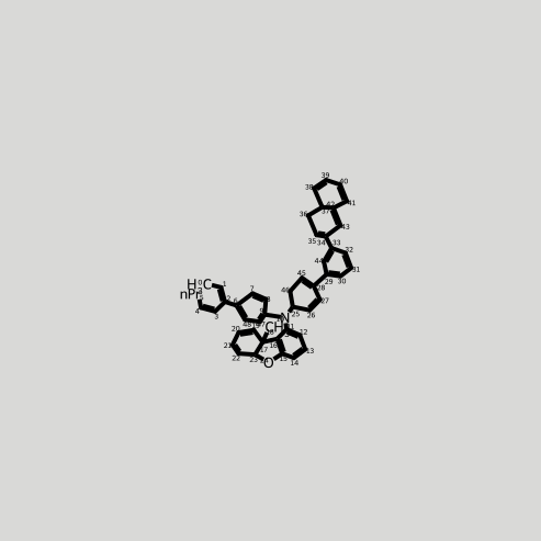 C/C=C(\C=C/CCC)c1ccc(N(c2cccc3c2C2(C)C=CC=CC2O3)C2C=CC(c3cccc(C4=CCC5C=CC=CC5=C4)c3)=CC2)cc1